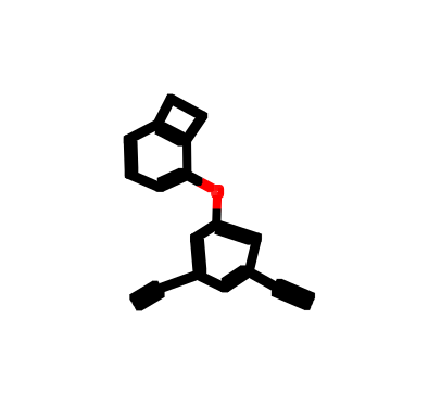 C#Cc1cc(C#C)cc(Oc2cccc3c2CC3)c1